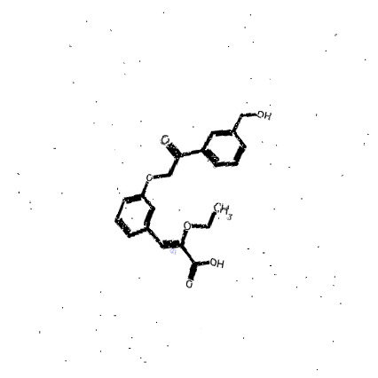 CCO/C(=C\c1cccc(OCC(=O)c2cccc(CO)c2)c1)C(=O)O